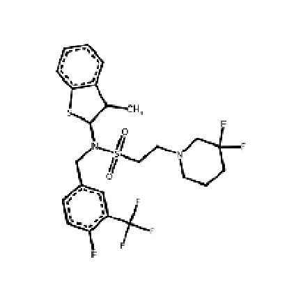 CC1c2ccccc2SC1N(Cc1ccc(F)c(C(F)(F)F)c1)S(=O)(=O)CCN1CCCC(F)(F)C1